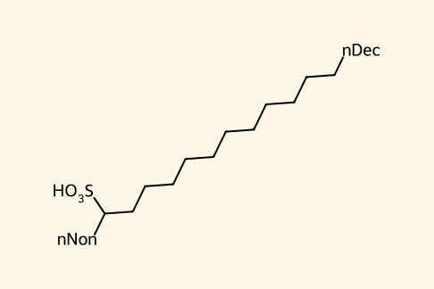 CCCCCCCCCCCCCCCCCCCCCC(CCCCCCCCC)S(=O)(=O)O